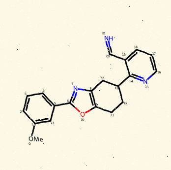 COc1cccc(-c2nc3c(o2)CCC(c2ncccc2C=N)C3)c1